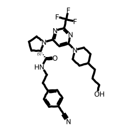 N#Cc1ccc(CCNC(=O)[C@@H]2CCCN2c2cc(N3CCC(CCCO)CC3)nc(C(F)(F)F)n2)cc1